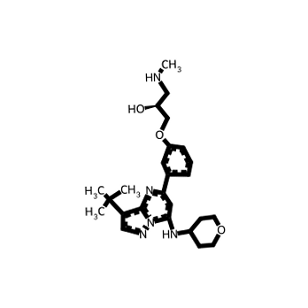 CNC[C@H](O)COc1cccc(-c2cc(NC3CCOCC3)n3ncc(C(C)(C)C)c3n2)c1